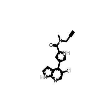 C#CCN(C)C(=O)c1cc(-c2c(Cl)cnc3[nH]ccc23)c[nH]1